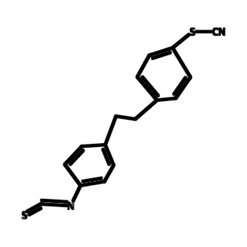 N#CSc1ccc(CCc2ccc(N=C=S)cc2)cc1